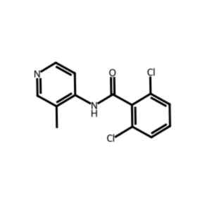 Cc1cnccc1NC(=O)c1c(Cl)cccc1Cl